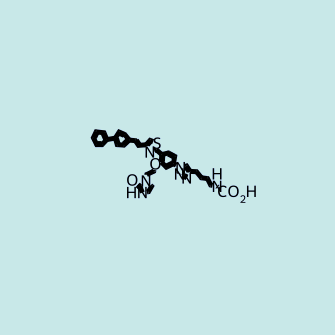 O=C(O)NCCCCc1cn(-c2ccc(-c3nc(C=Cc4ccc(-c5ccccc5)cc4)cs3)c(OCCN3CCNC3=O)c2)nn1